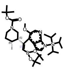 COc1cnc2c(ccn2[Si](C(C)C)(C(C)C)C(C)C)c1/C(=C\B1OC(C)(C)C(C)(C)O1)[C@H]1CN(C(=O)OC(C)(C)C)CC[C@H]1C